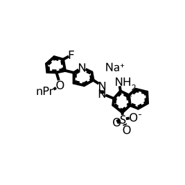 CCCOc1cccc(F)c1-c1ccc(N=Nc2cc(S(=O)(=O)[O-])c3ccccc3c2N)cn1.[Na+]